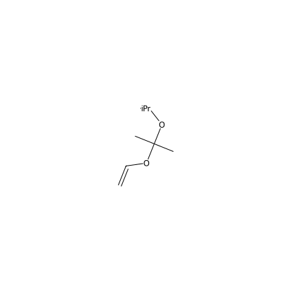 C=COC(C)(C)O[C](C)C